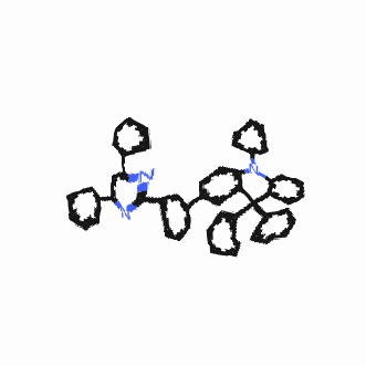 c1ccc(-c2cc(-c3ccccc3)nc(-c3cccc(-c4ccc5c(c4)C(c4ccccc4)(c4ccccc4)c4ccccc4N5c4ccccc4)c3)n2)cc1